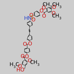 COc1cc(C(=O)Oc2ccc(C(=O)Oc3ccc(C#Cc4ccc(NS(=O)(=O)c5ccc(OC(=O)c6cc(OC)c(OC)cc6OC)cc5)cc4)cc3)cc2)c(OC)cc1CO